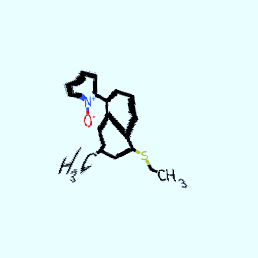 CCSC1=CC(C)Cc2c1cccc2-c1cccc[n+]1[O-]